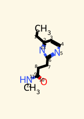 CCc1ccnc(CCC(=O)NC)n1